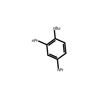 CCC[CH]c1ccc(CCC)cc1CCC